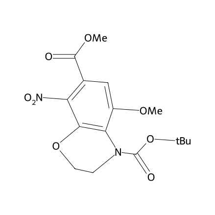 COC(=O)c1cc(OC)c2c(c1[N+](=O)[O-])OCCN2C(=O)OC(C)(C)C